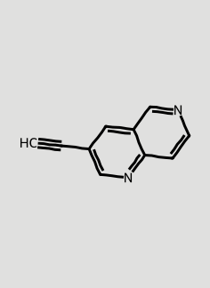 C#Cc1cnc2ccncc2c1